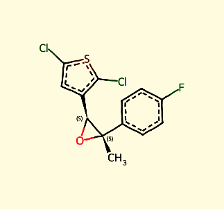 C[C@@]1(c2ccc(F)cc2)O[C@H]1c1cc(Cl)sc1Cl